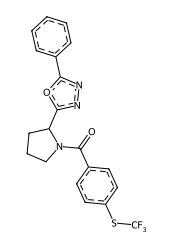 O=C(c1ccc(SC(F)(F)F)cc1)N1CCCC1c1nnc(-c2ccccc2)o1